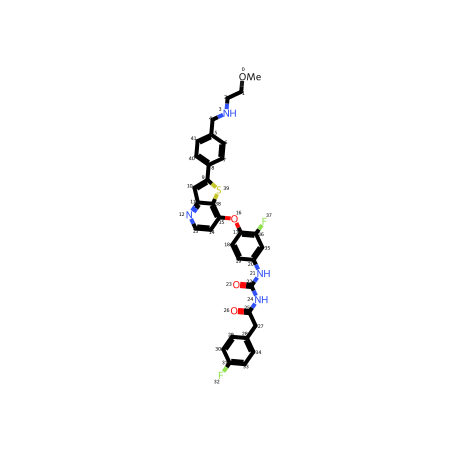 COCCNCc1ccc(-c2cc3nccc(Oc4ccc(NC(=O)NC(=O)Cc5ccc(F)cc5)cc4F)c3s2)cc1